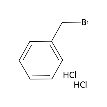 Cl.Cl.[B]Cc1ccccc1